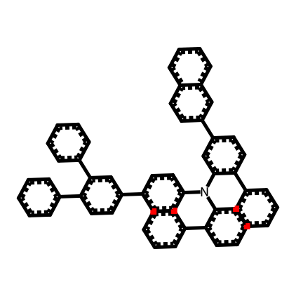 c1ccc(-c2ccc(-c3ccc(N(c4ccccc4-c4ccccc4)c4cc(-c5ccc6ccccc6c5)ccc4-c4ccccc4)cc3)cc2-c2ccccc2)cc1